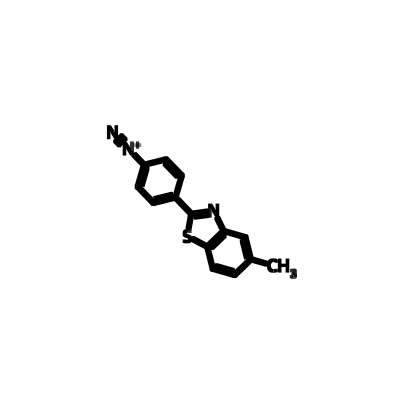 Cc1ccc2sc(-c3ccc([N+]#N)cc3)nc2c1